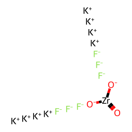 [F-].[F-].[F-].[F-].[F-].[F-].[K+].[K+].[K+].[K+].[K+].[K+].[K+].[K+].[O]=[Zr]([O-])[O-]